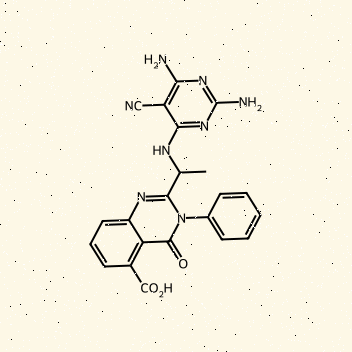 CC(Nc1nc(N)nc(N)c1C#N)c1nc2cccc(C(=O)O)c2c(=O)n1-c1ccccc1